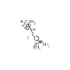 CCn1c[n+](CC)c2ccc(CCCNC(=O)OC(C)(C)C)cc21.[I-]